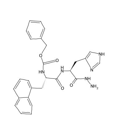 NNC(=O)[C@H](Cc1c[nH]cn1)NC(=O)[C@H](Cc1cccc2ccccc12)NC(=O)OCc1ccccc1